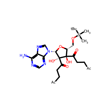 CC(=O)CCC(=O)[C@@]1(O)[C@@H](CO[Si](C)(C)C(C)(C)C)O[C@@H](n2cnc3c(N)ncnc32)[C@]1(O)C(=O)CCC(C)=O